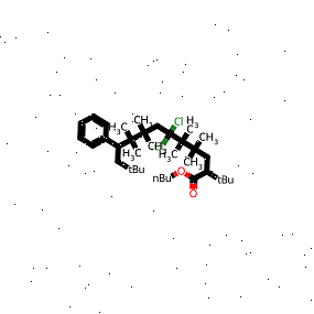 CCCCOC(=O)C(CC(C)(C)C(C)(C)C(Cl)(Cl)CC(C)(C)C(C)(C)C(CC(C)(C)C)c1ccccc1)C(C)(C)C